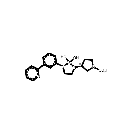 O=C(O)N1CC[C@H](N2CCN(c3cccc(-c4ccccn4)c3)S2(O)O)C1